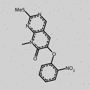 CSc1ncc2cc(Oc3ccccc3[N+](=O)[O-])c(=O)n(C)c2n1